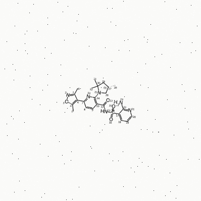 Cc1noc(C)c1-c1ccc(C(=O)NS(=O)(=O)c2cccnc2N)c(N2C[C@@H](C)CC2(C)C)n1